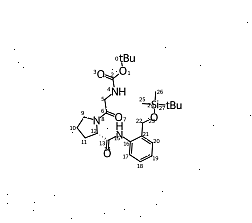 CC(C)(C)OC(=O)NCC(=O)N1CCC[C@H]1C(=O)Nc1ccccc1CO[Si](C)(C)C(C)(C)C